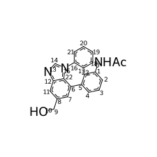 CC(=O)Nc1cccc(-c2cc(CO)cc3ncn(-c4ccccc4)c23)c1